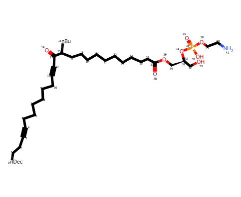 CCCCCCCCCCCCC#CCCCCCCC#CC(=O)C(CCCC)CCCCCCCCCCC(=O)OC[C@H](CO)OP(=O)(O)OCCN